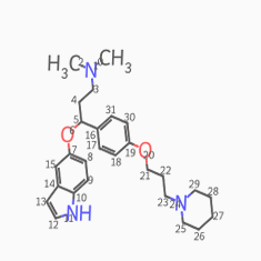 CN(C)CCC(Oc1ccc2[nH]ccc2c1)c1ccc(OCCCN2CCCCC2)cc1